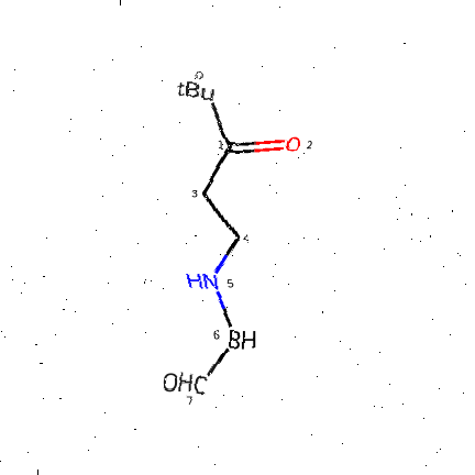 CC(C)(C)C(=O)CCNBC=O